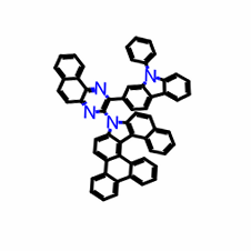 c1ccc(-n2c3ccccc3c3ccc(-c4nc5c(ccc6ccccc65)nc4-n4c5ccc6ccccc6c5c5c6c7ccccc7c7ccccc7c6ccc54)cc32)cc1